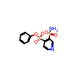 NS(=O)(=O)c1cnccc1S(=O)(=O)Oc1ccccc1